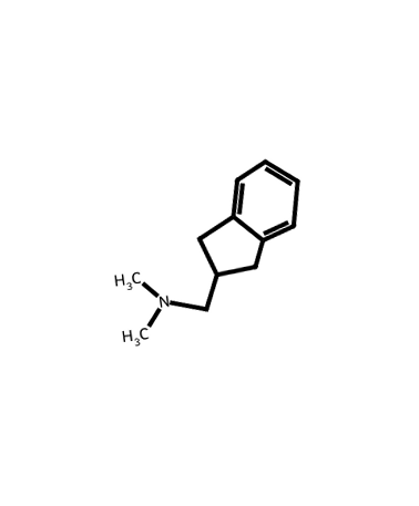 CN(C)CC1Cc2ccccc2C1